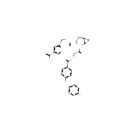 Cc1ccc(Oc2ccc(C(=O)NCC(=O)N3[C@H]4C[C@@]4(C)C[C@H]3C(=O)N[C@H](C)c3cc(C(=N)N)cs3)cc2)cc1